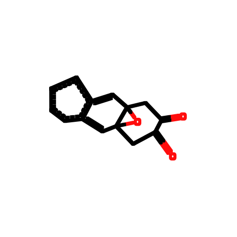 O=C1CC23C=c4ccccc4=CC2(CC1=O)O3